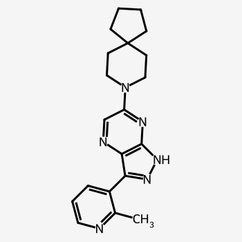 Cc1ncccc1-c1n[nH]c2nc(N3CCC4(CCCC4)CC3)cnc12